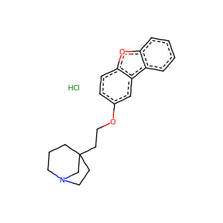 Cl.c1ccc2c(c1)oc1ccc(OCCC34CCCN(CC3)C4)cc12